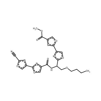 CCCCOCC(NC(=O)c1coc(-c2coc(C#N)n2)n1)c1nc(-c2nc(C(=O)OC)co2)co1